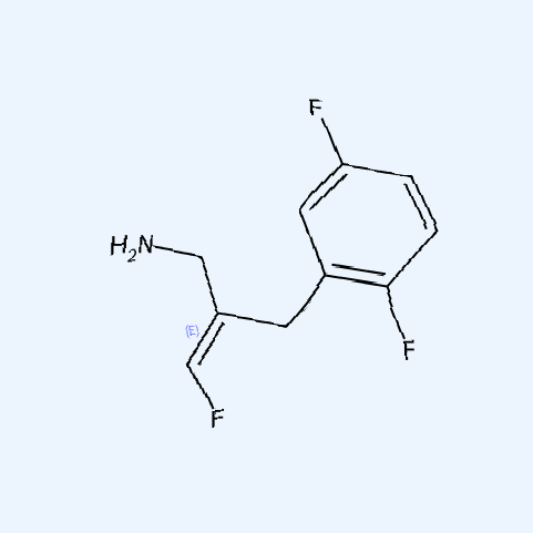 NC/C(=C/F)Cc1cc(F)ccc1F